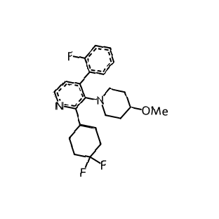 COC1CCN(c2c(-c3ccccc3F)ccnc2C2CCC(F)(F)CC2)CC1